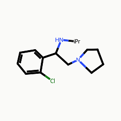 CC(C)NC(CN1CCCC1)c1ccccc1Cl